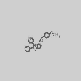 COc1ccc(COC[C@@H]2CCc3nc(-c4ccncc4)c(-c4ccncc4)n32)cc1